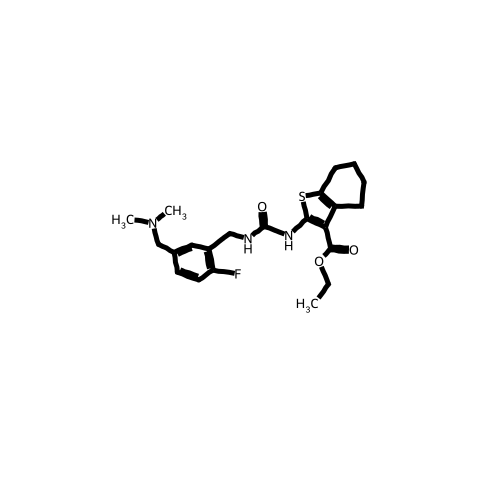 CCOC(=O)c1c(NC(=O)NCc2cc(CN(C)C)ccc2F)sc2c1CCCC2